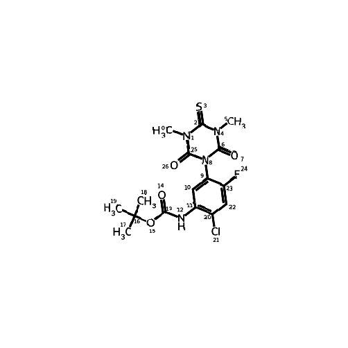 Cn1c(=S)n(C)c(=O)n(-c2cc(NC(=O)OC(C)(C)C)c(Cl)cc2F)c1=O